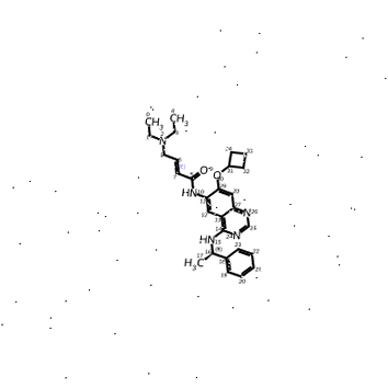 CCN(CC)C/C=C/C(=O)Nc1cc2c(N[C@H](C)c3ccccc3)ncnc2cc1OC1CCC1